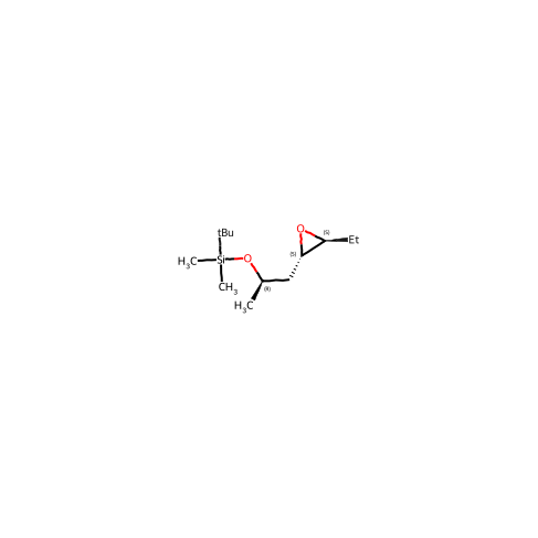 CC[C@@H]1O[C@H]1C[C@@H](C)O[Si](C)(C)C(C)(C)C